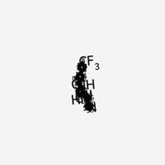 Cc1cc(-c2ccc(C(F)(F)F)cc2)ccc1C(=O)Nc1ccc(Cl)c(-c2ncc(-c3cccnc3)[nH]2)c1